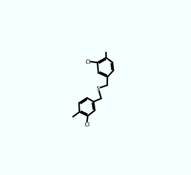 Cc1ccc(CSCc2ccc(C)c(Cl)c2)cc1Cl